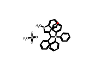 Cn1cc(C(c2ccccc2)[P+](c2ccccc2)(c2ccccc2)c2ccccc2)c2ccccc21.O=S(=O)([O-])C(F)(F)F